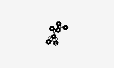 c1ccc(-n2c3ccccc3c3c4c5ccccc5n(-c5cc6c7c(c5)Oc5ccccc5B7c5ccccc5O6)c4ccc32)cc1